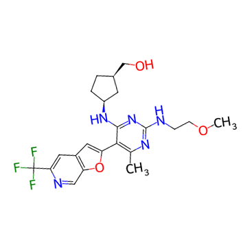 COCCNc1nc(C)c(-c2cc3cc(C(F)(F)F)ncc3o2)c(N[C@H]2CC[C@@H](CO)C2)n1